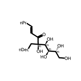 CCCC=CC(=O)[C@@](O)(CCCCCCCCCCC)[C@@H](O)[C@H](O)[C@H](O)CO